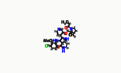 C=CC(=O)N1CCC[C@]1(C)COc1cnccc1-c1[nH]c2c(c1Nc1cccc(Cl)c1OC)C(=O)NCC2